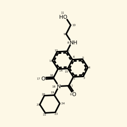 O=C1c2cccc3c(NCCO)ccc(c23)C(=O)N1C1CCCCC1